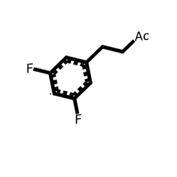 CC(=O)CCc1cc(F)[c]c(F)c1